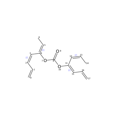 C=C/C=C\C(=C/C)OC(=O)OC(/C=C\C)=C/C=C